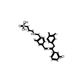 Cc1ccc(CC(=C=Cc2ccc(CNCCCP(=O)(O)O)c(C)c2)c2cccc(Cl)c2)cc1C